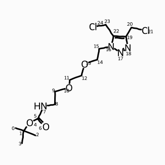 CC(C)(C)OC(=O)NCCOCCOCCn1nnc(CCl)c1CCl